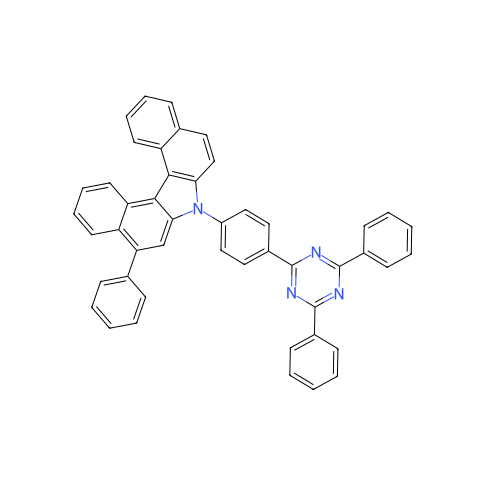 c1ccc(-c2nc(-c3ccccc3)nc(-c3ccc(-n4c5ccc6ccccc6c5c5c6ccccc6c(-c6ccccc6)cc54)cc3)n2)cc1